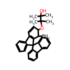 BC1C2=C(C=CC1OC(C)(C)C(C)(C)O)c1ccccc1C21c2ccccc2-c2ccccc21